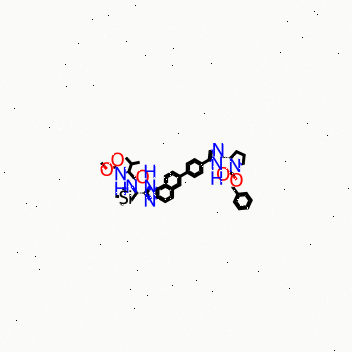 COC(=O)N[C@H](C(=O)N1C[Si](C)(C)C[C@H]1c1nc2ccc3cc(-c4ccc(-c5cnc([C@@H]6CCCN6C(=O)OCc6ccccc6)[nH]5)cc4)ccc3c2[nH]1)C(C)C